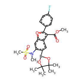 COC(=O)c1c(-c2ccc(F)cc2)oc2cc(N(C)S(C)(=O)=O)c(B3OC(C)(C)C(C)(C)O3)cc12